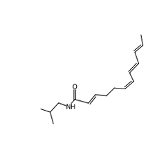 C/C=C/C=C/C=C\CC/C=C/C(=O)NCC(C)C